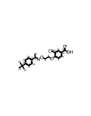 C/C(=N\OCCOc1ccc(C(=O)O)cc1Cl)c1ccc(C(C)(C)C)cc1